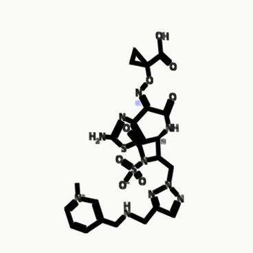 C[n+]1cccc(CNCc2cnn(CC3[C@H](NC(=O)/C(=N\OC4(C(=O)O)CC4)c4csc(N)n4)C(=O)N3S(=O)(=O)[O-])n2)c1